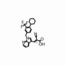 N#C/C(=C\c1cn(Cc2ccc(C3CCCCC3)c(C(F)(F)F)c2)c2ncccc12)C(=O)O